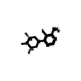 C[C@@H]1CN(c2ncnc(N)c2I)C[C@H](C)N1C